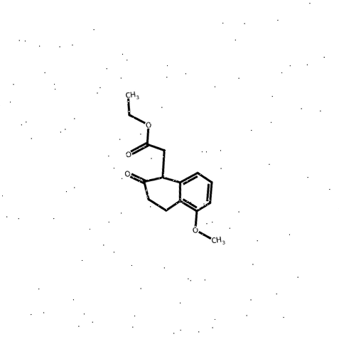 CCOC(=O)CC1C(=O)CCc2c(OC)cccc21